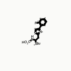 CC(C)(C)C(Cc1nc(-c2ccccc2F)cs1)NC(=O)O